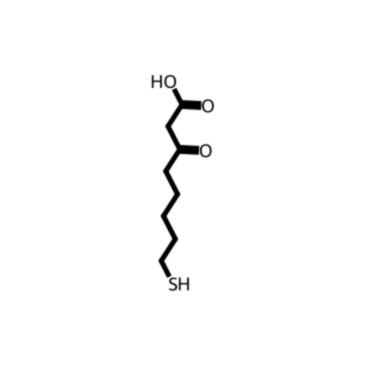 O=C(O)CC(=O)CCCCCS